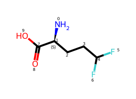 N[C@@H](CCC(F)F)C(=O)O